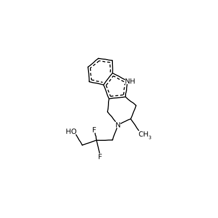 CC1Cc2[nH]c3ccccc3c2CN1CC(F)(F)CO